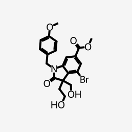 COC(=O)c1cc(Br)c2c(c1)N(Cc1ccc(OC)cc1)C(=O)C2(CO)CCO